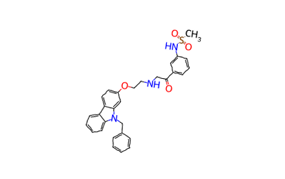 CS(=O)(=O)Nc1cccc(C(=O)CNCCOc2ccc3c4ccccc4n(Cc4ccccc4)c3c2)c1